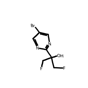 OC(CF)(CF)c1ncc(Br)cn1